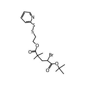 CC(C)(C)OC(=O)C(Br)CC(C)(C)C(=O)OCCSSc1ccccn1